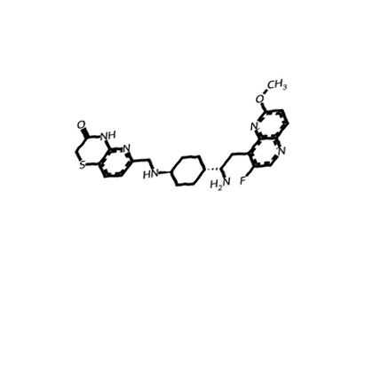 COc1ccc2ncc(F)c(CC(N)[C@H]3CC[C@H](NCc4ccc5c(n4)NC(=O)CS5)CC3)c2n1